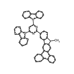 CC1c2ccc(-c3nc(-n4c5ccccc5c5ccccc54)cc(-n4c5ccccc5c5ccccc54)n3)cc2-c2cc3c4ccccc4c4ccccc4c3cc21